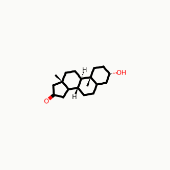 C[C@@]12CC[C@@H]3[C@H](CCC4C[C@@H](O)CC[C@]43C)C1CC(=O)C2